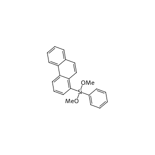 CO[Si](OC)(c1ccccc1)c1cccc2c1ccc1ccccc12